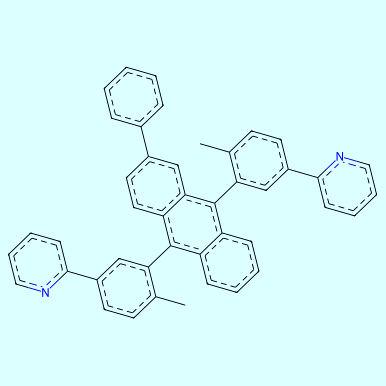 Cc1ccc(-c2ccccn2)cc1-c1c2ccccc2c(-c2cc(-c3ccccn3)ccc2C)c2cc(-c3ccccc3)ccc12